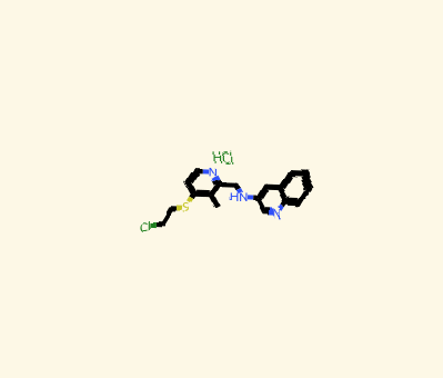 Cc1c(SCCCl)ccnc1CNc1cnc2ccccc2c1.Cl